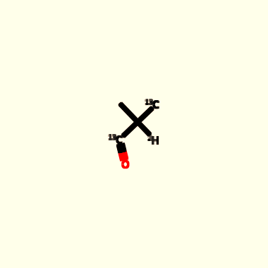 [2H]C(C)([13CH3])[13CH]=O